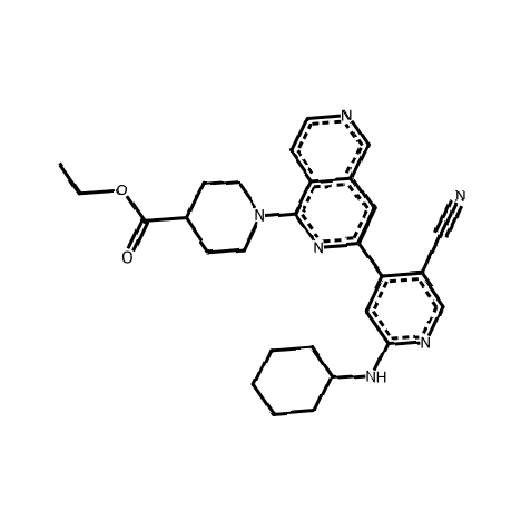 CCOC(=O)C1CCN(c2nc(-c3cc(NC4CCCCC4)ncc3C#N)cc3cnccc23)CC1